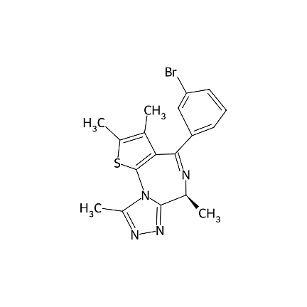 Cc1sc2c(c1C)C(c1cccc(Br)c1)=N[C@@H](C)c1nnc(C)n1-2